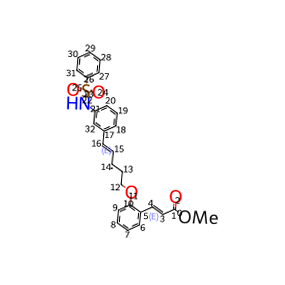 COC(=O)/C=C/c1ccccc1OCC[CH]/C=C/c1cccc(NS(=O)(=O)c2ccccc2)c1